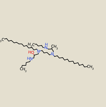 CCCCCCCCCCCCCCN(CCCCN(CCCCCCCCCCCCCC)CC(O)CNCCCCC)CC(C)CNCCCCC